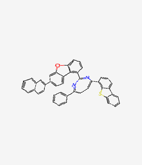 C1=C(c2cccc3c2sc2ccccc23)N=C(c2cccc3oc4cc(-c5ccc6ccccc6c5)ccc4c23)N=C(c2ccccc2)C1